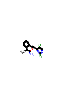 CC(C(N)=O)c1ccccc1C#Cc1nc(Cl)ncc1Cl